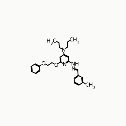 CCCN(CCC)c1cc(N/N=C/c2cccc(C)c2)nc(OCCOc2ccccc2)c1